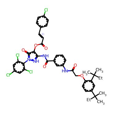 CCC(C)(C)c1ccc(OCC(=O)Nc2cccc(C(=O)Nc3[nH]n(-c4c(Cl)cc(Cl)cc4Cl)c(=O)c3OC(=O)/C=C/c3ccc(Cl)cc3)c2)c(C(C)(C)CC)c1